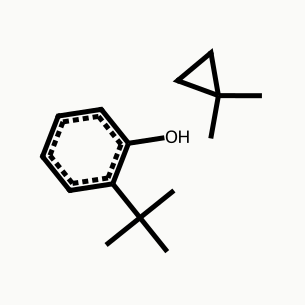 CC(C)(C)c1ccccc1O.CC1(C)CC1